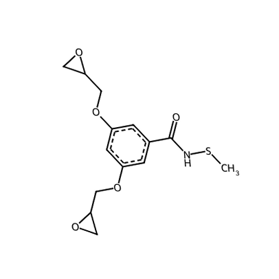 CSNC(=O)c1cc(OCC2CO2)cc(OCC2CO2)c1